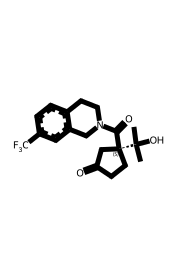 CC(C)(O)[C@]1(C(=O)N2CCc3ccc(C(F)(F)F)cc3C2)CCC(=O)C1